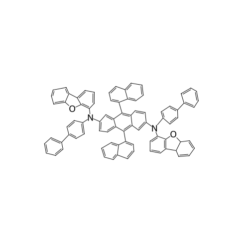 C1=CC2Oc3c(cccc3N(c3ccc(-c4ccccc4)cc3)c3ccc4c(-c5cccc6ccccc56)c5cc(N(c6ccc(-c7ccccc7)cc6)c6cccc7c6oc6ccccc67)ccc5c(-c5cccc6ccccc56)c4c3)C2C=C1